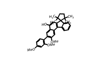 COc1ccc(-c2cc3c(O)cc4c(c3cc2OC)-c2ccccc2C42C(C)(C)CCC2(C)C)c(OC)c1